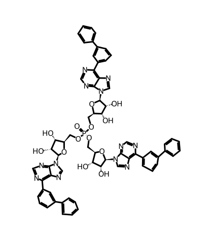 O=P(OC[C@H]1O[C@@H](n2cnc3c(-c4cccc(-c5ccccc5)c4)ncnc32)[C@H](O)[C@@H]1O)(OC[C@H]1O[C@@H](n2cnc3c(-c4cccc(-c5ccccc5)c4)ncnc32)[C@H](O)[C@@H]1O)OC[C@H]1O[C@@H](n2cnc3c(-c4cccc(-c5ccccc5)c4)ncnc32)[C@H](O)[C@@H]1O